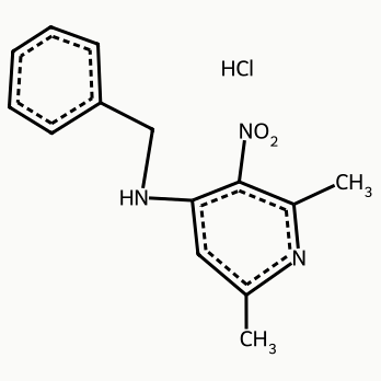 Cc1cc(NCc2ccccc2)c([N+](=O)[O-])c(C)n1.Cl